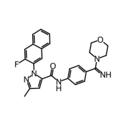 Cc1cc(C(=O)Nc2ccc(C(=N)N3CCOCC3)cc2)n(-c2cc3ccccc3cc2F)n1